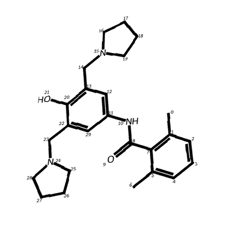 Cc1cccc(C)c1C(=O)Nc1cc(CN2CCCC2)c(O)c(CN2CCCC2)c1